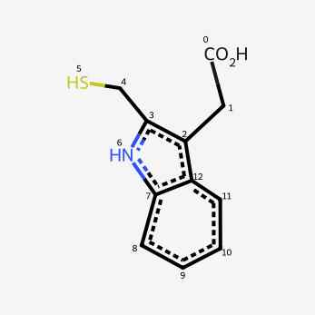 O=C(O)Cc1c(CS)[nH]c2ccccc12